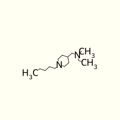 CCCCCN1CCC(CN(C)CC)CC1